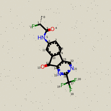 C[C@@H](F)C(=O)Nc1ccc2c(c1)C(=O)c1nc(C(F)(F)F)ncc1-2